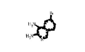 Nc1ncc2ccc(Br)cc2c1N